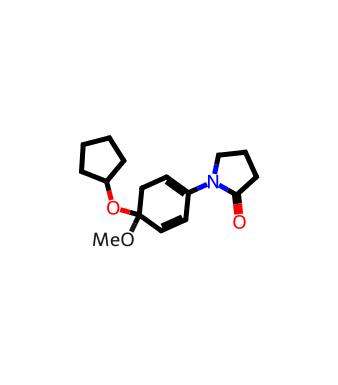 COC1(OC2CCCC2)C=CC(N2CCCC2=O)=CC1